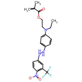 C=C(C)C(=O)OCCN(CC)c1ccc(NNc2ccc([N+](=O)[O-])c(C(F)(F)F)c2)cc1